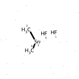 F.F.[CH3][Sn][CH3]